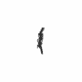 CCCCCCCCC[C@]1(C#N)CC[C@H](C(=O)Oc2ccc(-c3ncc(CCCCCC)cn3)cc2)CC1